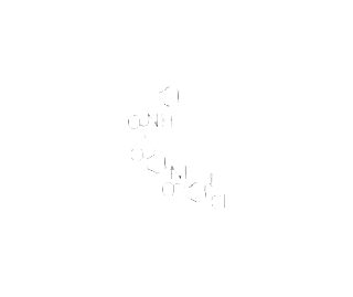 Cc1ccccc1CNC(=O)C1COc2ccc(NC(=O)c3ccc(Cl)c(F)c3)cc2C1